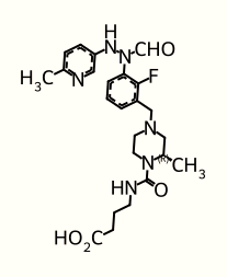 Cc1ccc(NN(C=O)c2cccc(CN3CCN(C(=O)NCCCC(=O)O)[C@H](C)C3)c2F)cn1